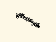 O=[N+]([O-])c1cn2c(n1)OC(COc1ccc(N3CCN(CC(O)c4ccc(C(F)(F)F)cc4)CC3)cc1)CC2